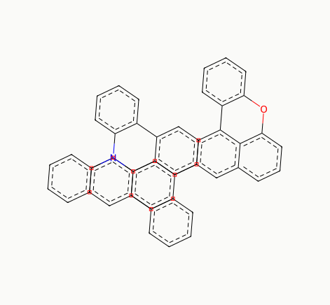 c1ccc(-c2ccccc2-c2ccccc2-c2ccccc2N(c2ccccc2)c2cccc(-c3cc4c5c(cccc5c3)Oc3ccccc3-4)c2)cc1